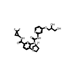 O=C(NC1CC1(F)F)c1ccc2c(n1)N(C(=O)Nc1cc(OCC(O)CO)ccn1)[C@H]1CCN2C1